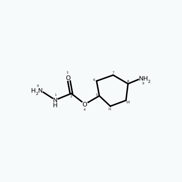 NNC(=O)OC1CCC(N)CC1